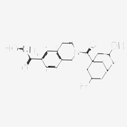 CCC1CC2CC(O)CC(C(=O)N3CCc4cc(C(=O)NO)ccc4C3)(C1)C2